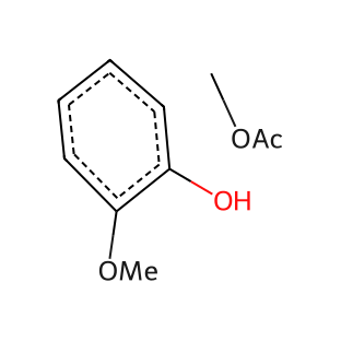 COC(C)=O.COc1ccccc1O